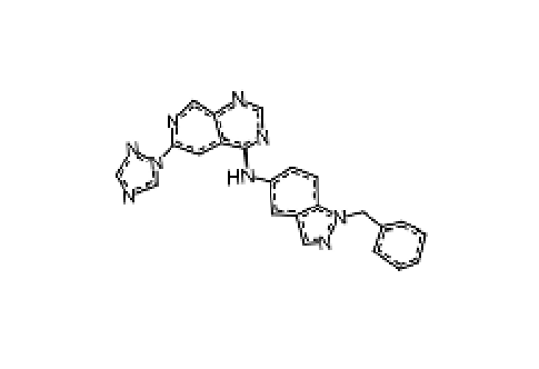 c1ccc(Cn2ncc3cc(Nc4ncnc5cnc(-n6cncn6)cc45)ccc32)cc1